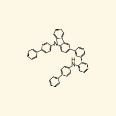 c1ccc(-c2ccc(Nc3ccccc3-c3cccc(-c4ccc5c(c4)c4ccccc4n5-c4ccc(-c5ccccc5)cc4)c3)cc2)cc1